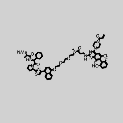 C=CC(=O)N1CCN(c2nc(NCCC(=O)N(C)CCOCCOCCOc3ccc(-c4csc(C5CCCN5C(=O)C(NC(=O)C(C)NC)C5CCCCC5)n4)c4ccccc34)nc3c(F)c(-c4c(O)cccc4F)c(Cl)cc23)CC1